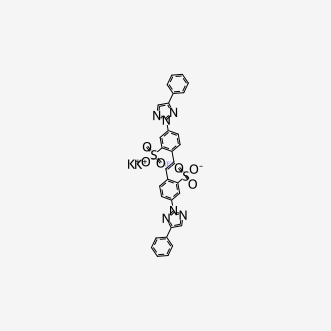 O=S(=O)([O-])c1cc(-n2ncc(-c3ccccc3)n2)ccc1/C=C/c1ccc(-n2ncc(-c3ccccc3)n2)cc1S(=O)(=O)[O-].[K+].[K+]